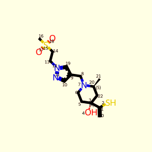 C=C(S)[C@@]1(O)CCN(Cc2cnn(CCS(C)(=O)=O)c2)[C@@H](C)C1